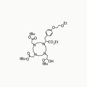 CCOCCOc1ccc(C[C@@H](C(=O)OCC)N2CCN(CC(=O)OC(C)(C)C)CCN(CC(=O)OC(C)(C)C)CCN(CC(O)OC(C)(C)C)CC2)cc1